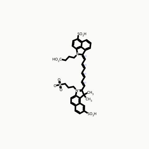 CC1(C)C(/C=C/C=C/C=C/C=c2/c3cccc4c(S(=O)(=O)O)ccc(c43)n2CCCC(=O)O)=[N+](CCCS(=O)(=O)[O-])c2ccc3ccc(S(=O)(=O)O)cc3c21